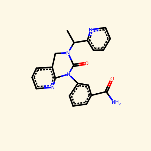 CC(c1ccccn1)N1Cc2cccnc2N(c2cccc(C(N)=O)c2)C1=O